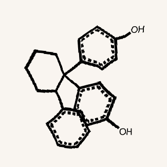 Oc1ccc(C2(c3ccc(O)cc3)CCCCC2c2ccccc2)cc1